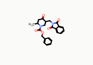 CC1CC(=O)C(CN2C(=O)c3ccccc3C2=O)CN1C(=O)OCc1ccccc1